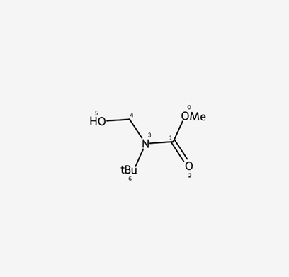 COC(=O)N(CO)C(C)(C)C